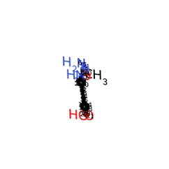 COC(C/N=C\N)Nc1ccc(C#CC#Cc2ccc(C(=O)O)cc2)cc1